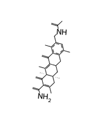 C=C(C)NCc1cc(C)c2c(c1C)C(=C)C1=C(C)[C@]3(C)C(=C)C(C(=C)N)=C(C)C[C@]3(C)CC1C2